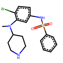 CN(c1cc(NS(=O)(=O)c2ccccc2)ccc1Br)C1CCNCC1